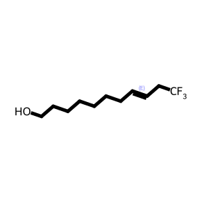 OCCCCCCC/C=C/CC(F)(F)F